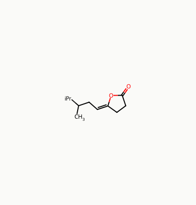 CC(C)C(C)CC=C1CCC(=O)O1